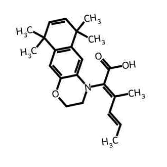 CC=CC(C)=C(C(=O)O)N1CCOc2cc3c(cc21)C(C)(C)C=CC3(C)C